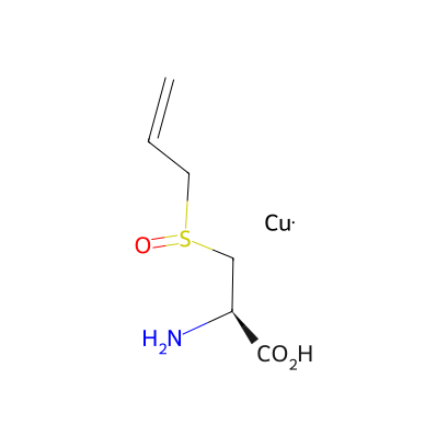 C=CCS(=O)C[C@H](N)C(=O)O.[Cu]